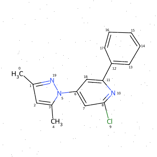 Cc1cc(C)n(-c2cc(Cl)nc(-c3ccccc3)c2)n1